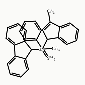 CC1=C[CH]([Zr]([CH3])(=[SiH2])([c]2ccccc2)[CH]2c3ccccc3-c3ccccc32)c2ccccc21